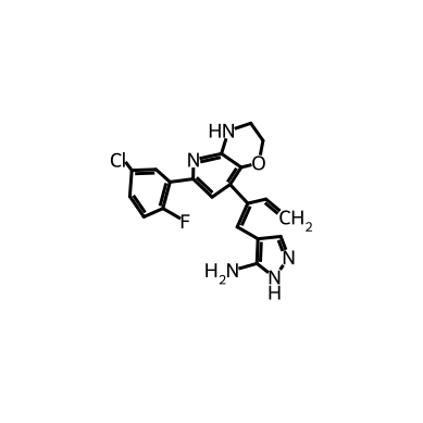 C=C/C(=C\c1cn[nH]c1N)c1cc(-c2cc(Cl)ccc2F)nc2c1OCCN2